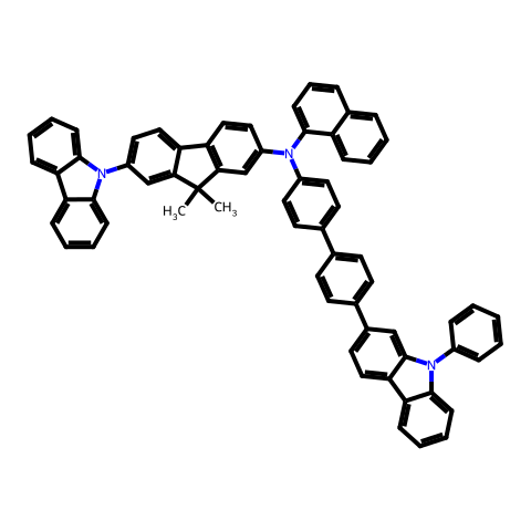 CC1(C)c2cc(N(c3ccc(-c4ccc(-c5ccc6c7ccccc7n(-c7ccccc7)c6c5)cc4)cc3)c3cccc4ccccc34)ccc2-c2ccc(-n3c4ccccc4c4ccccc43)cc21